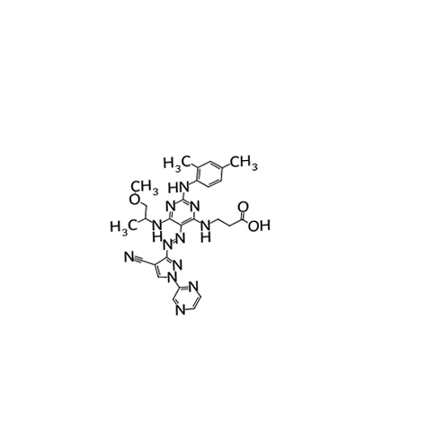 COCC(C)Nc1nc(Nc2ccc(C)cc2C)nc(NCCC(=O)O)c1N=Nc1nn(-c2cnccn2)cc1C#N